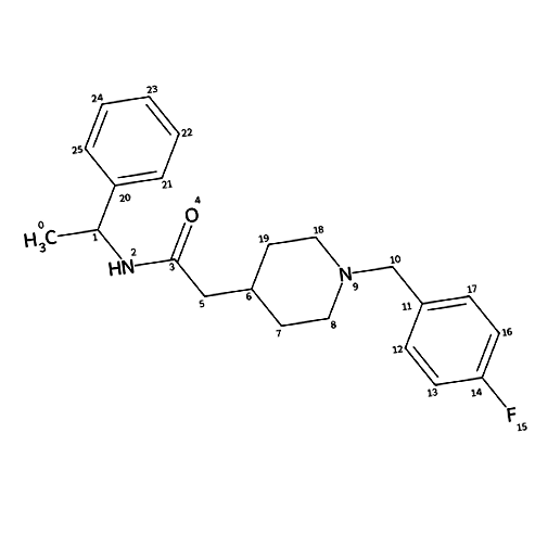 CC(NC(=O)CC1CCN(Cc2ccc(F)cc2)CC1)c1ccccc1